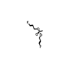 CP(=O)(OCC=CF)OCC=CF